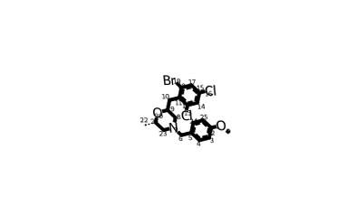 COc1ccc(CN2CC(Cc3c(Cl)cc(Cl)cc3Br)O[C@@H](C)C2)cc1